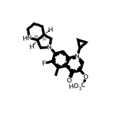 Cc1c(F)c(N2C[C@@H]3CCCN[C@@H]3C2)cc2c1c(=O)c(OC(=O)O)cn2C1CC1